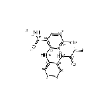 C=CC(=O)Nc1ccccc1Nc1nc(Cl)ncc1C(=O)NC